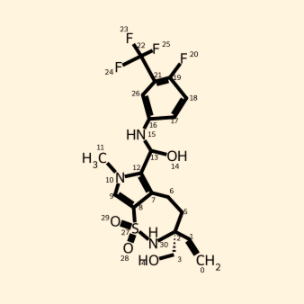 C=C[C@]1(CO)CCc2c(cn(C)c2C(O)Nc2ccc(F)c(C(F)(F)F)c2)S(=O)(=O)N1